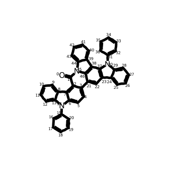 O=c1c2c(ccc3c2c2ccccc2n3-c2ccccc2)c2cc3c4ccccc4n(-c4ccccc4)c3c3c4ccccc4n1c23